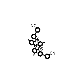 Cc1ccc2c(c1)P(=S)(c1cccc(-c3cccc(C#N)c3)c1)c1cc(C)cc3c1N2c1ccc(C)cc1P3(=S)c1cccc(-c2cccc(C#N)c2)c1